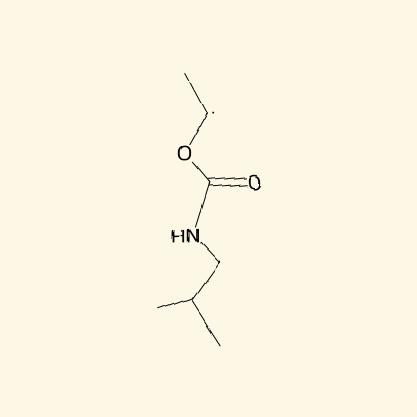 C[CH]OC(=O)NCC(C)C